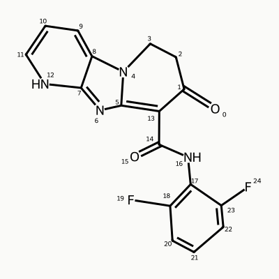 O=C1CCn2c(nc3c2=CC=CN3)=C1C(=O)Nc1c(F)cccc1F